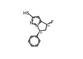 F[C@H]1C[C@@H](c2ccccc2)n2nc(S)cc21